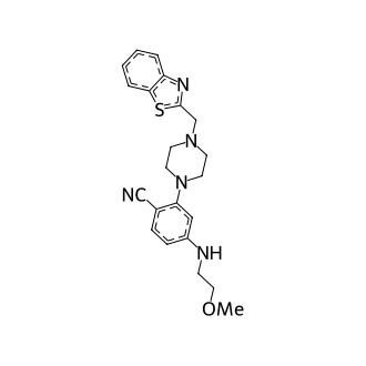 COCCNc1ccc(C#N)c(N2CCN(Cc3nc4ccccc4s3)CC2)c1